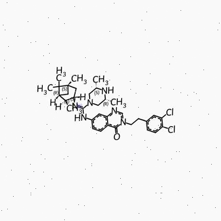 C[C@@H]1[C@@H](/N=C(/Nc2ccc3c(=O)n(CCc4ccc(Cl)c(Cl)c4)cnc3c2)N2C[C@@H](C)N[C@@H](C)C2)C[C@]2(C)C[C@H]1C2(C)C